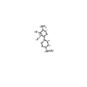 CC(=O)Nc1ccc(-c2ccc(N)c(F)c2F)cc1